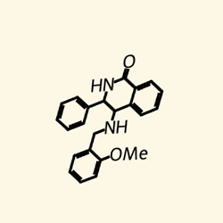 COc1ccccc1CNC1c2ccccc2C(=O)NC1c1ccccc1